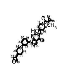 CC1(C(=O)N2CCC(O)(Cn3cnc4c(cnn4-c4cccc(N5CCC(C6COC6)CC5)c4)c3=O)CC2)CC1